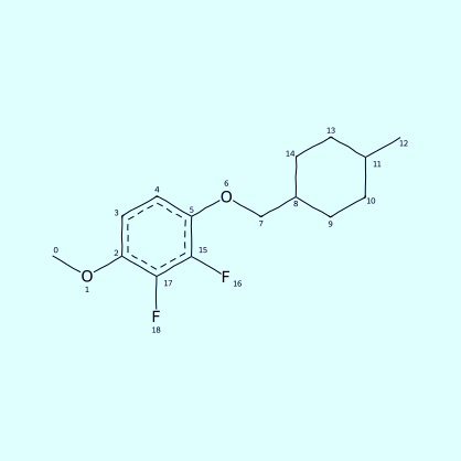 COc1ccc(OCC2CCC(C)CC2)c(F)c1F